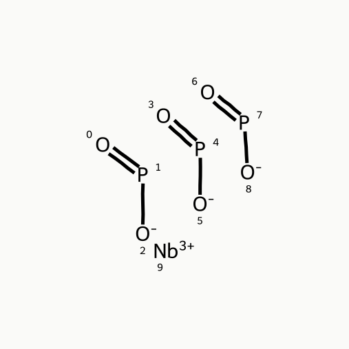 O=P[O-].O=P[O-].O=P[O-].[Nb+3]